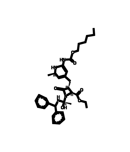 CCCCCCOC(=O)NC1=CC(C[C@H]2C(=O)N([C@@](C)(O)NC(c3ccccc3)c3ccccc3)[C@@H]2C(=O)OCC)=C[C@@H](C)N1